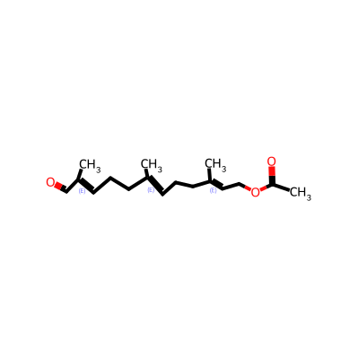 CC(=O)OC/C=C(\C)CC/C=C(\C)CC/C=C(\C)C=O